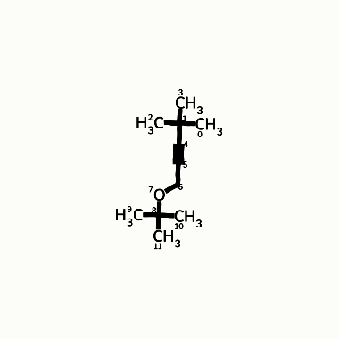 CC(C)(C)C#CCOC(C)(C)C